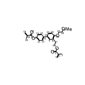 C=C(C)C(=O)OCCc1cc(-c2ccc(OC(=O)C(=C)C)cc2)ccc1OCCOC